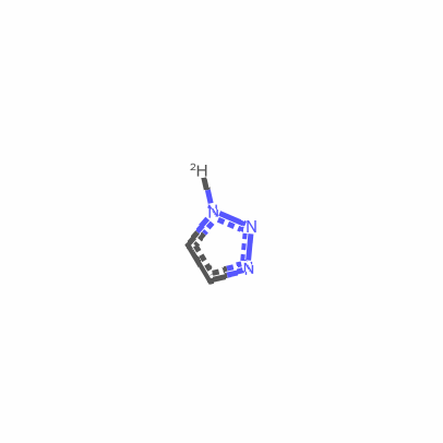 [2H]n1ccnn1